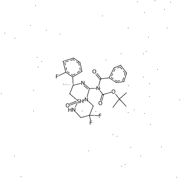 CC(C)(C)OC(=O)N(C(=O)c1ccccc1)C1=N[C@](C)(c2ccccc2F)C[SH]2(=O)NCC(F)(F)CN12